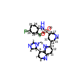 Cn1cncc1-c1ccnc2ccc(-c3cncc(S(=O)(=O)Nc4ccc(F)cc4F)c3)nc12